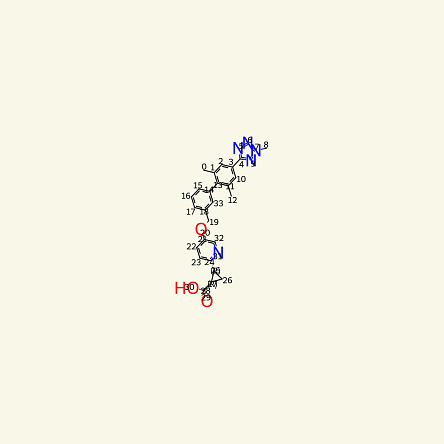 Cc1cc(-c2nnn(C)n2)cc(C)c1-c1cccc(COc2ccc([C@@H]3C[C@H]3C(=O)O)nc2)c1